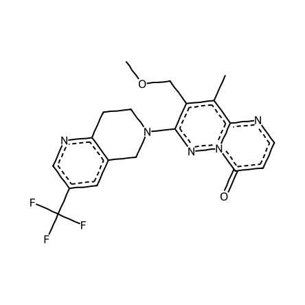 COCc1c(N2CCc3ncc(C(F)(F)F)cc3C2)nn2c(=O)ccnc2c1C